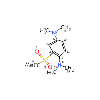 COS(=O)(=O)c1cc(N(C)C)ccc1N(C)C